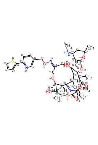 B[C@]1(C)C(=O)O[C@H](I)[C@@](C)(O)[C@@H]2OC/C(=N\OCc3ccc(-c4cccs4)nc3)CO[C@](C)(C[C@@H](C)/C(=N\C(C)=O)[C@@H]2C)[C@H](O[C@@H]2O[C@H](C)C[C@H](NC)[C@H]2O)[C@@H](C)C1=O